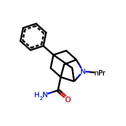 CCCN1C2CC3(c4ccccc4)CC1C(C(N)=O)(C2)C3